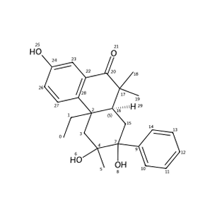 CCC12CC(C)(O)C(O)(c3ccccc3)C[C@@H]1C(C)(C)C(=O)c1cc(O)ccc12